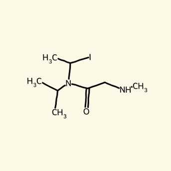 CNCC(=O)N(C(C)C)C(C)I